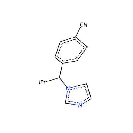 CC(C)C(c1ccc(C#N)cc1)n1ccnc1